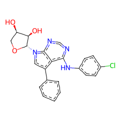 O[C@@H]1[C@H](O)CO[C@H]1n1cc(-c2ccccc2)c2c(Nc3ccc(Cl)cc3)ncnc21